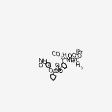 CC(OC(=O)N[C@@H](Cc1cccc(S(=O)(=O)N2CC(Oc3cccc(C(N)=O)c3)(c3ccccc3)C2)c1)C(=O)O)OC(=O)C(C)C